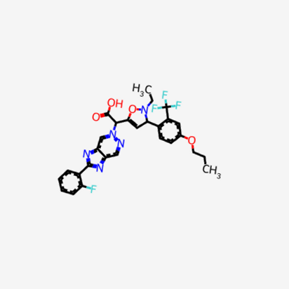 CCCOc1ccc(C2C=C(C(C(=O)O)n3cc4nc(-c5ccccc5F)nc-4cn3)ON2CC)c(C(F)(F)F)c1